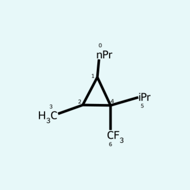 CCCC1C(C)C1(C(C)C)C(F)(F)F